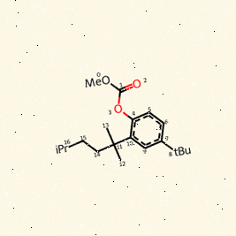 COC(=O)Oc1ccc(C(C)(C)C)cc1C(C)(C)CCC(C)C